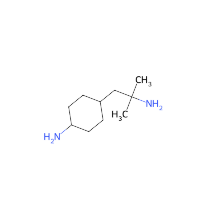 CC(C)(N)CC1CCC(N)CC1